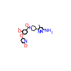 COc1ccc(Oc2ccc(C(=O)N3CCC(c4nnc(N)cc4C)CC3)cc2OC)cn1